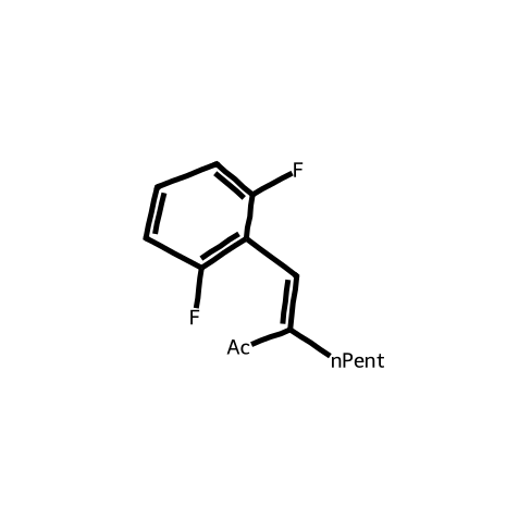 CCCCCC(=Cc1c(F)cccc1F)C(C)=O